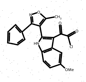 COc1ccc2[nH]c(-c3c(-c4ccccc4)noc3C)c(C(=O)C(=O)Cl)c2c1